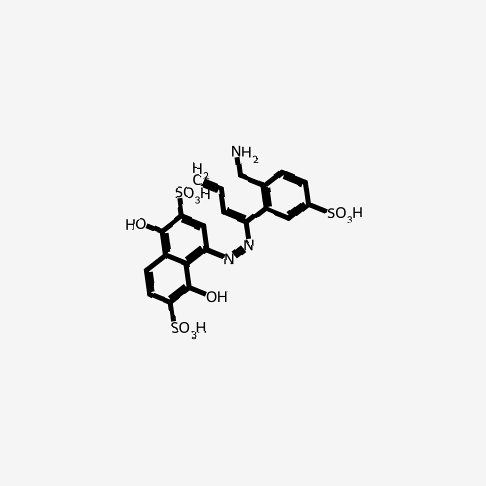 C=C/C=C(/N=N\c1cc(S(=O)(=O)O)c(O)c2ccc(S(=O)(=O)O)c(O)c12)c1cc(S(=O)(=O)O)ccc1CN